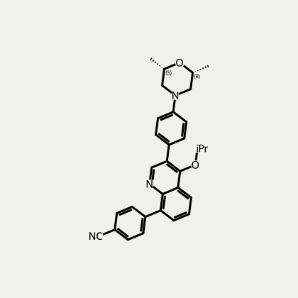 CC(C)Oc1c(-c2ccc(N3C[C@@H](C)O[C@@H](C)C3)cc2)cnc2c(-c3ccc(C#N)cc3)cccc12